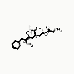 CCC(=O)OCC[C@@H](C[C@H](O)[C@@H](N)CC1CCCCC1)C(C)C